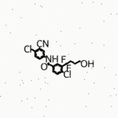 N#Cc1cc(NC(=O)c2ccc(Cl)c(C(F)(F)CCCO)c2)ccc1Cl